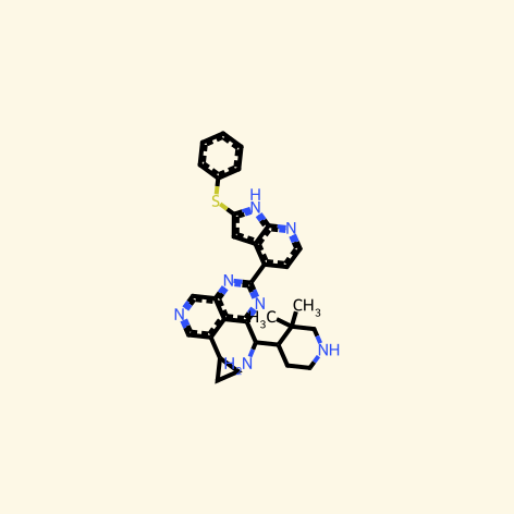 CC1(C)CNCCC1C(N)c1nc(-c2ccnc3[nH]c(Sc4ccccc4)cc23)nc2cncc(C3CC3)c12